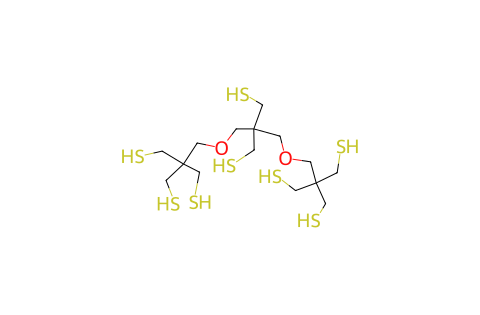 SCC(CS)(CS)COCC(CS)(CS)COCC(CS)(CS)CS